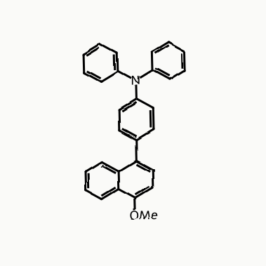 COc1ccc(-c2ccc(N(c3ccccc3)c3ccccc3)cc2)c2ccccc12